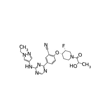 CCn1cc(Nc2ncnc(-c3ccc(O[C@H]4CCN(C(=O)C(C)O)C[C@H]4F)c(C#N)c3)n2)cn1